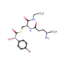 N[C@@H](CCC(=O)N[C@@H](CSC(=O)N(O)c1ccc(Br)cc1)C(=O)NCC(=O)O)C(=O)O